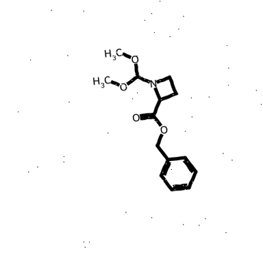 COC(OC)N1CCC1C(=O)OCc1ccccc1